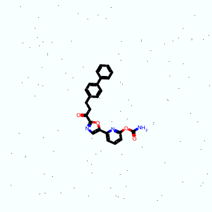 NC(=O)Oc1cccc(-c2cnc(C(=O)CCc3ccc(-c4ccccc4)cc3)o2)n1